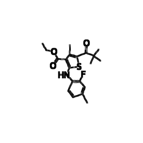 CCOC(=O)c1c(Nc2ccc(C)cc2F)sc(C(=O)C(C)(C)C)c1C